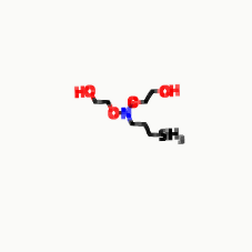 OCCON(CCC[SiH3])OCCO